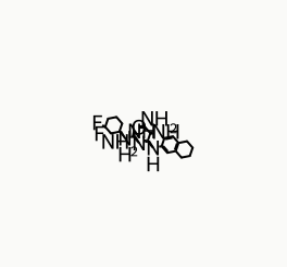 N=C(/N=C(/Nc1ccc2c(c1)CCCC2)C(=N)C(N)=O)N[C@@H]1CCCC(F)(F)[C@@H]1N